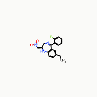 CCc1ccc2c(c1)C(c1ccccc1F)=NCC(=C[N+](=O)[O-])N2